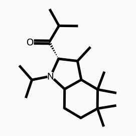 CC(C)C(=O)[C@@H]1C(C)C2C(CCC(C)(C)C2(C)C)N1C(C)C